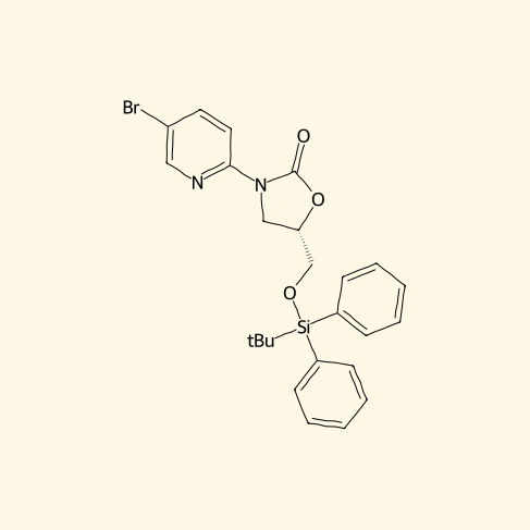 CC(C)(C)[Si](OC[C@@H]1CN(c2ccc(Br)cn2)C(=O)O1)(c1ccccc1)c1ccccc1